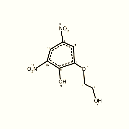 O=[N+]([O-])c1cc(OCCO)c(O)c([N+](=O)[O-])c1